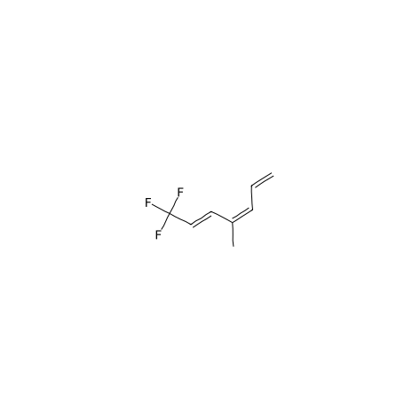 C=C/C=C(C)\C=C\C(F)(F)F